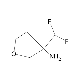 NC1(C(F)F)CCOC1